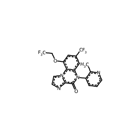 Cc1ncccc1-n1c(=O)c2nccn2c2c(OCC(F)(F)F)cc(C(F)(F)F)cc21